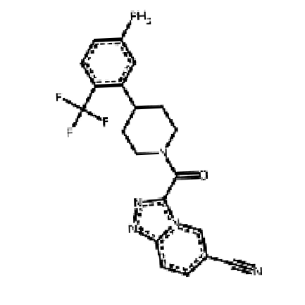 N#Cc1ccc2nnc(C(=O)N3CCC(c4cc(P)ccc4C(F)(F)F)CC3)n2c1